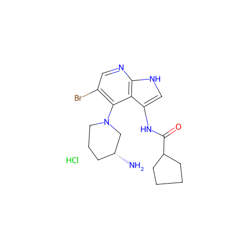 Cl.N[C@@H]1CCCN(c2c(Br)cnc3[nH]cc(NC(=O)C4CCCC4)c23)C1